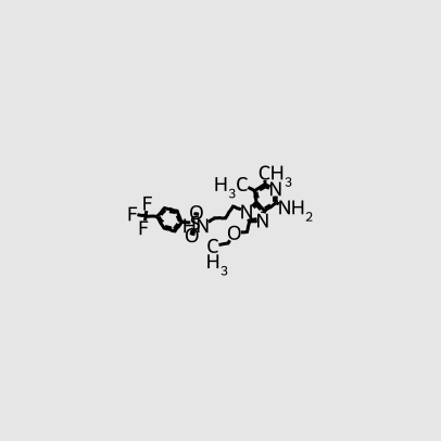 CCOCc1nc2c(N)nc(C)c(C)c2n1CCCNS(=O)(=O)c1ccc(C(F)(F)F)cc1